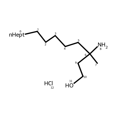 CCCCCCCCCCCCC(C)(N)CCO.Cl